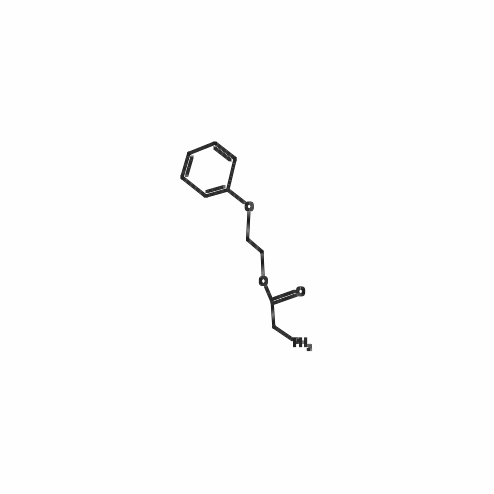 O=C(CP)OCCOc1ccccc1